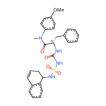 COc1ccc(N(C)C(=O)[C@H](Cc2ccccc2)NC(=O)NS(=O)(=O)NC2CC=Cc3ccccc32)cc1